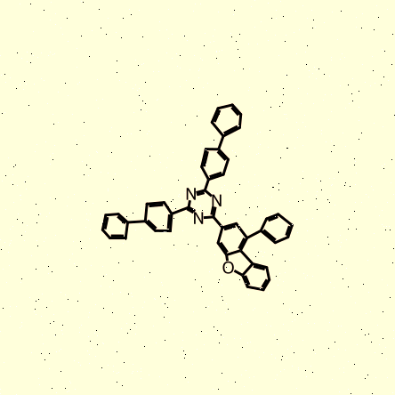 c1ccc(-c2ccc(-c3nc(-c4ccc(-c5ccccc5)cc4)nc(-c4cc(-c5ccccc5)c5c(c4)oc4ccccc45)n3)cc2)cc1